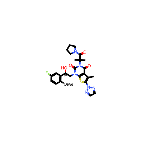 COc1ccc(F)cc1[C@@H](O)Cn1c(=O)n(C(C)(C)C(=O)N2CCCC2)c(=O)c2c(C)c(-n3nccn3)sc21